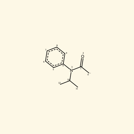 [CH2]C(=O)N(c1ccccc1)C(C)C